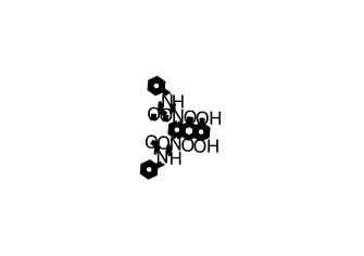 COC(CN(CCNc1ccc(NCCN(Cc2ccccc2)CC(OC)OC)c2c1C(=O)c1c(O)ccc(O)c1C2=O)Cc1ccccc1)OC